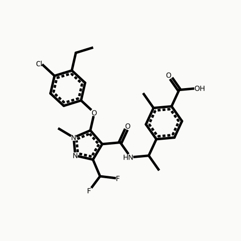 CCc1cc(Oc2c(C(=O)NC(C)c3ccc(C(=O)O)c(C)c3)c(C(F)F)nn2C)ccc1Cl